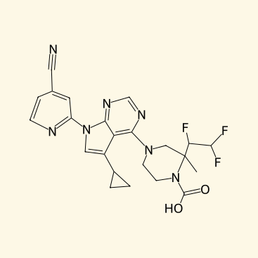 CC1(C(F)C(F)F)CN(c2ncnc3c2c(C2CC2)cn3-c2cc(C#N)ccn2)CCN1C(=O)O